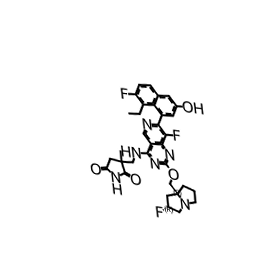 CCc1c(F)ccc2cc(O)cc(-c3ncc4c(NCC5(C)CC(=O)NC5=O)nc(OC[C@@]56CCCN5C[C@H](F)C6)nc4c3F)c12